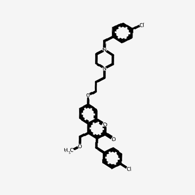 COCc1c(Cc2ccc(Cl)cc2)c(=O)oc2cc(OCCCN3CCN(Cc4ccc(Cl)cc4)CC3)ccc12